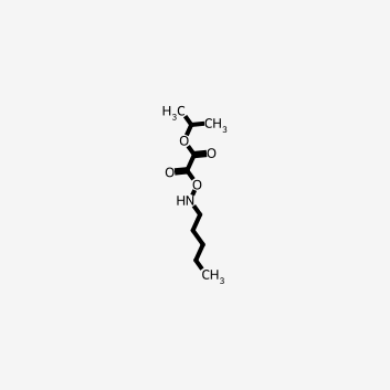 CCCCCNOC(=O)C(=O)OC(C)C